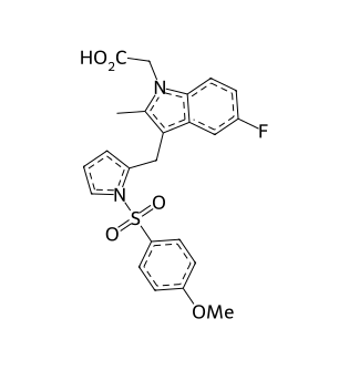 COc1ccc(S(=O)(=O)n2cccc2Cc2c(C)n(CC(=O)O)c3ccc(F)cc23)cc1